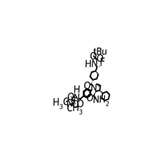 CN(C)S(=O)(=O)NC(=O)c1ccc([N+]2(C(=O)[C@H]3CC[C@H]([C@@H](CF)NC(=O)OC(C)(C)C)CC3)CC[C@@H](C3CCCCC3)[C@H]2C(N)=O)cc1